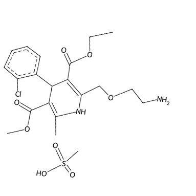 CCOC(=O)C1=C(COCCN)NC(C)=C(C(=O)OC)C1c1ccccc1Cl.CS(=O)(=O)O